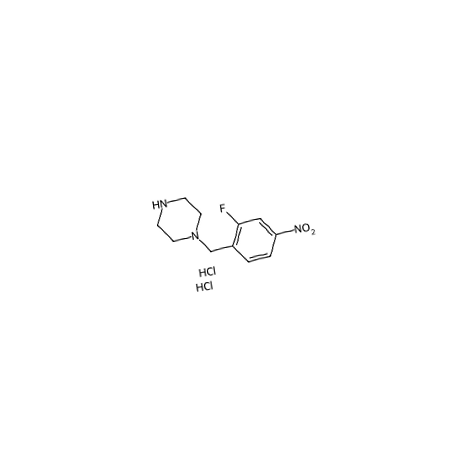 Cl.Cl.O=[N+]([O-])c1ccc(CN2CCNCC2)c(F)c1